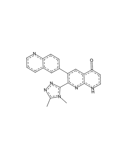 Cc1nnc(-c2nc3[nH]ccc(=O)c3cc2-c2ccc3ncccc3c2)n1C